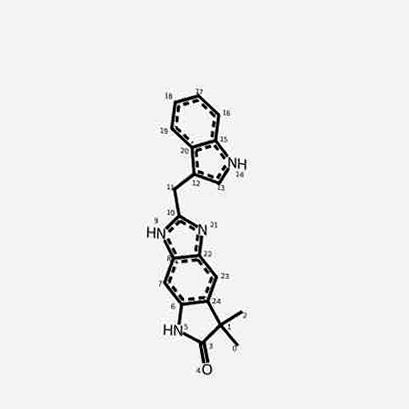 CC1(C)C(=O)Nc2cc3[nH]c(Cc4c[nH]c5ccccc45)nc3cc21